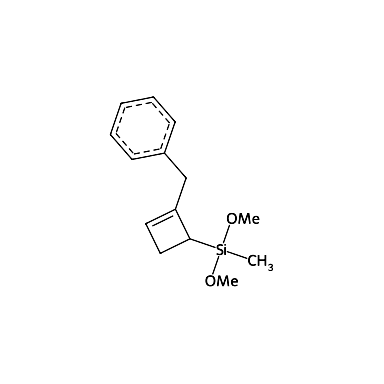 CO[Si](C)(OC)C1CC=C1Cc1ccccc1